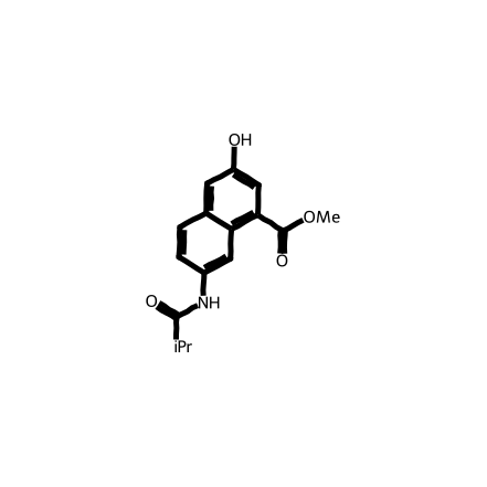 COC(=O)c1cc(O)cc2ccc(NC(=O)C(C)C)cc12